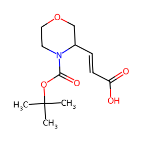 CC(C)(C)OC(=O)N1CCOCC1/C=C/C(=O)O